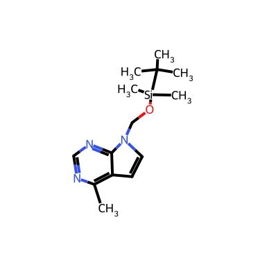 Cc1ncnc2c1ccn2CO[Si](C)(C)C(C)(C)C